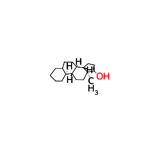 C[C@]12CC[C@H]3[C@@H](CCC4CCCC[C@@H]43)[C@@H]1CC=C2O